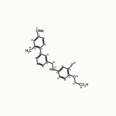 COc1ccc(-c2cccc(CNc3ccc(OCC(=O)O)c(F)c3)c2)c(C)c1